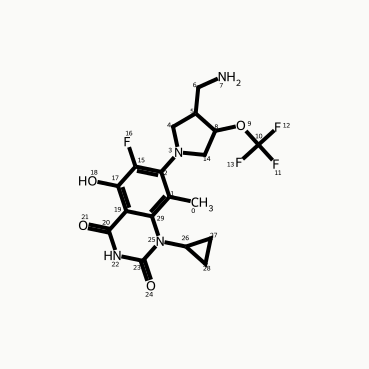 Cc1c(N2CC(CN)C(OC(F)(F)F)C2)c(F)c(O)c2c(=O)[nH]c(=O)n(C3CC3)c12